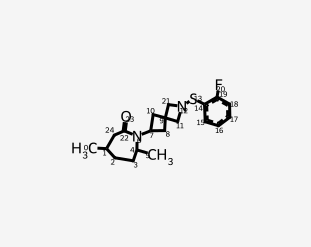 CC1CCC(C)N(C2CC3(C2)CN(Sc2ccccc2F)C3)C(=O)C1